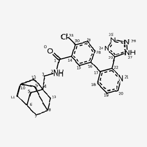 O=C(NCC12CC3CC(CC(C3)C1)C2)c1cc(-c2cccnc2-c2nnn[nH]2)ccc1Cl